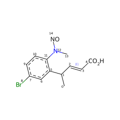 CC(/C=C/C(=O)O)c1cc(Br)ccc1N(C)N=O